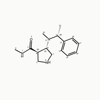 CNC(=O)[C@@H]1CNC[C@H]1N(C)[C@H](C)c1ccccc1